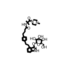 CN1CCN(C(=O)C(C)(C)NC(=O)CCCc2ccc(CCc3cccc4[nH]nc(O[C@@H]5O[C@H](CO)[C@@H](O)[C@H](O)[C@H]5O)c34)cc2)CC1